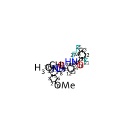 COc1ccc2c(c1)/C(=C/C(=O)c1cccc(NC(=O)c3c(F)ccc(F)c3F)c1)NC(C)(C)C2